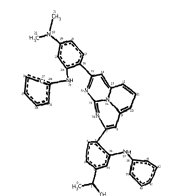 CC(C)c1ccc(C2=CC3=CC=CC4=CC(c5ccc(N(C)C)cc5Nc5ccccc5)=NC(=N2)N34)c(Nc2ccccc2)c1